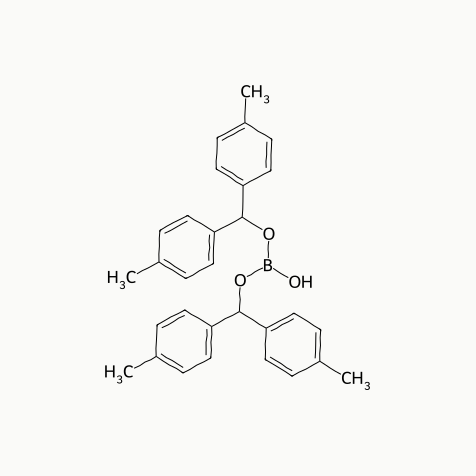 Cc1ccc(C(OB(O)OC(c2ccc(C)cc2)c2ccc(C)cc2)c2ccc(C)cc2)cc1